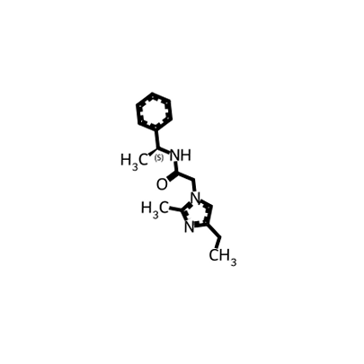 CCc1cn(CC(=O)N[C@@H](C)c2ccccc2)c(C)n1